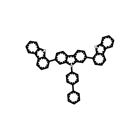 c1ccc(-c2ccc(-n3c4cc(-c5cccc6c5oc5ccccc56)ccc4c4ccc(-c5cccc6c5oc5ccccc56)cc43)cc2)cc1